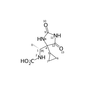 C[C@@H](NC(=O)O)C1(C2CC2)NC(=O)NC1=O